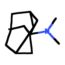 CN(C)C12C[C]3CC(CC(C3)C1)C2